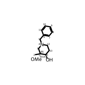 CO[C@]1(C)CN(Cc2ccccc2)CC[C@H]1O